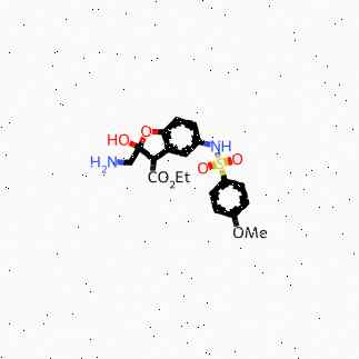 CCOC(=O)C1c2cc(NS(=O)(=O)c3ccc(OC)cc3)ccc2OC1(O)CN